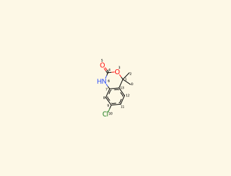 CC1(C)OC(=O)Nc2cc(Cl)ccc21